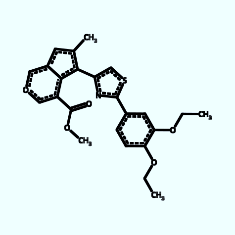 CCOc1ccc(-c2nc(-c3c(C)cc4cocc(C(=O)OC)c3-4)cs2)cc1OCC